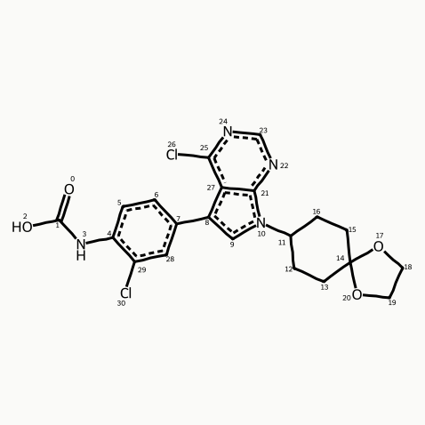 O=C(O)Nc1ccc(-c2cn(C3CCC4(CC3)OCCO4)c3ncnc(Cl)c23)cc1Cl